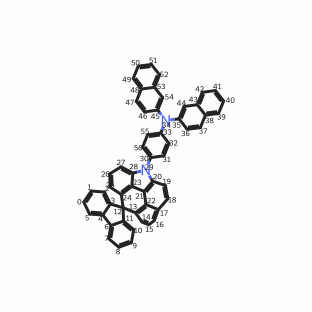 c1ccc2c(c1)-c1ccccc1C21c2cccc3ccc4c(c23)c2c1cccc2n4-c1ccc(N(c2ccc3ccccc3c2)c2ccc3ccccc3c2)cc1